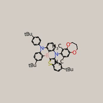 Cc1cc2c(c(C)c1N1c3cccc4c3B(c3cc(C(C)(C)C)ccc3N4c3ccc(C(C)(C)C)cc3)c3sc4ccc(C(C)(C)C)cc4c31)OCCCO2